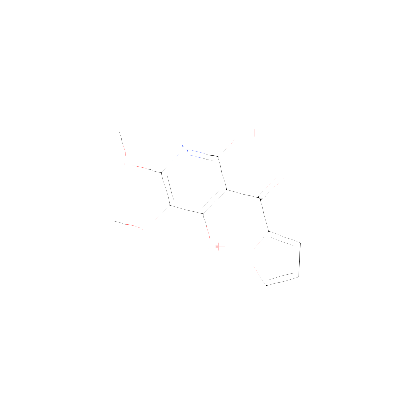 COc1nc(O)c(C(=O)c2ccco2)c(O)c1OC